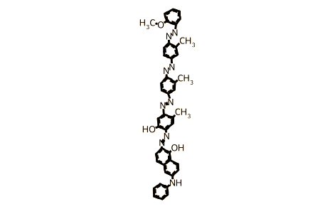 COc1ccccc1N=Nc1ccc(N=Nc2ccc(N=Nc3cc(O)c(N=Nc4ccc5cc(Nc6ccccc6)ccc5c4O)cc3C)cc2C)cc1C